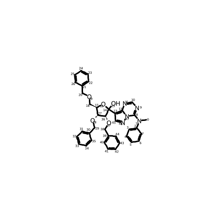 CN(c1ccccc1)c1ncnc2c(C3(O)O[C@H](COCc4ccccc4)[C@@H](OCc4ccccc4)[C@H]3OCc3ccccc3)cnn12